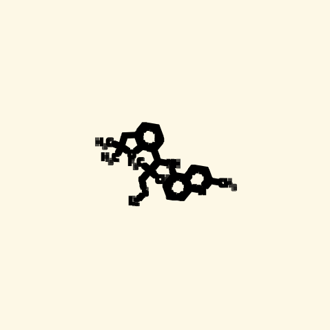 CCSCC(C)(C(Nc1cccc2nc(C)ccc12)c1cccc2c1OC(C)(C)C2)C(F)(F)F